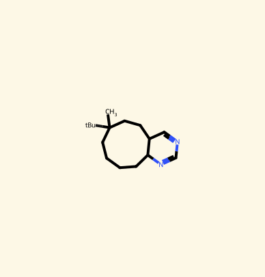 CC(C)(C)C1(C)CCCCC2N=CN=CC2CC1